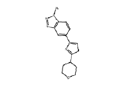 CC(C)n1nnc2cc(C3=CCC(C4CCOCC4)=N3)ccc21